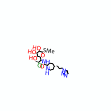 CS[C@H]1O[C@H]([C@H](NC(=O)C2CC[C@H](CCCn3ccnn3)CCN2)[C@H](C)Cl)[C@H](O)[C@H](O)[C@H]1O